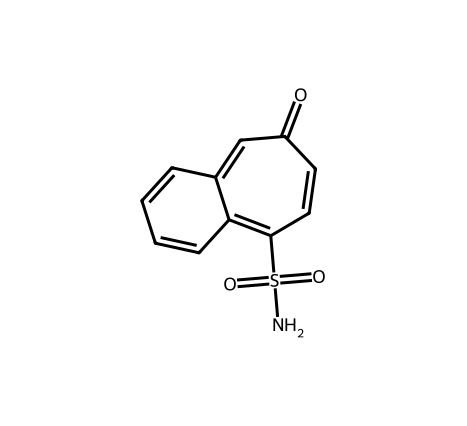 NS(=O)(=O)c1ccc(=O)cc2ccccc12